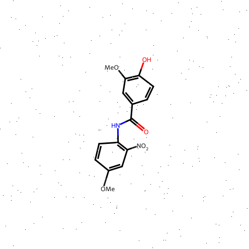 COc1ccc(NC(=O)c2ccc(O)c(OC)c2)c([N+](=O)[O-])c1